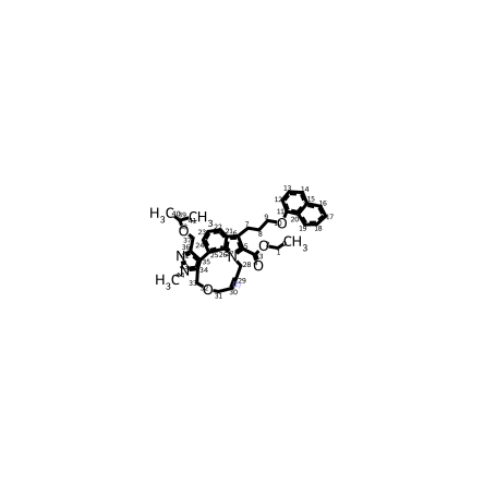 CCOC(=O)c1c(CCCOc2cccc3ccccc23)c2cccc3c2n1C/C=C\COCc1c-3c(COC(C)C)nn1C